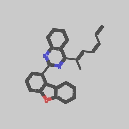 C=C/C=C\C=C(/C)c1nc(-c2cccc3oc4ccccc4c23)nc2ccccc12